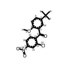 COc1ccc(C(C)(C)C)cc1C(=O)c1ccc([N+](=O)[O-])cc1Cl